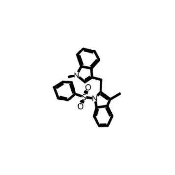 Cc1c(Cc2cn(C)c3ccccc23)n(S(=O)(=O)c2ccccc2)c2ccccc12